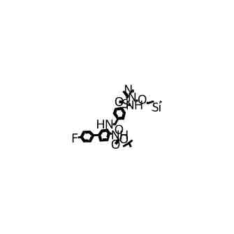 CC(C)(C)OC(=O)Nc1ccc(-c2ccc(F)cc2)cc1NC(=O)c1ccc(S(=N)(=O)c2cncn2COCC[Si](C)(C)C)cc1